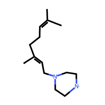 CC(C)=CCC/C(C)=C/CN1CC[N]CC1